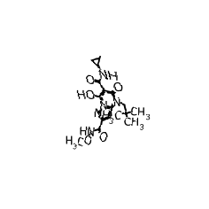 CONC(=O)c1cc2n(CC(C)(C)C)c(=O)c(C(=O)NC3CC3)c(O)n2n1